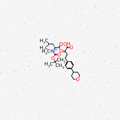 CC(C)C[C@@H](C(=O)O[C@H](CCc1ccc(C2CCOCC2)cc1)C(=O)O)N(C)C(=O)OC(C)(C)C